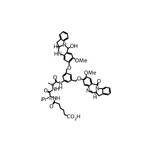 COc1cc2c(cc1OCc1cc(COc3cc4c(cc3OC)C(O)N3c5ccccc5C[C@H]3CN4)cc(NC(=O)[C@H](C)NC(=O)[C@@H](NC(=O)CCCCC(=O)O)C(C)C)c1)N=C[C@@H]1Cc3ccccc3N1C2=O